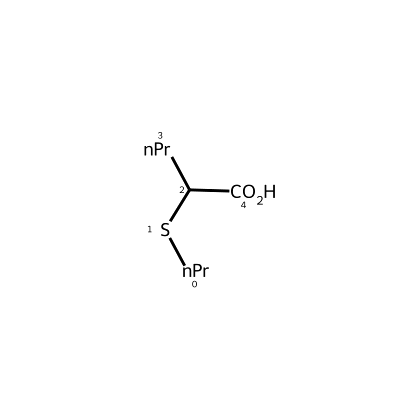 CCCSC(CCC)C(=O)O